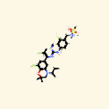 C=N/C(=N\C(=C(/C)F)c1cc(F)c2c(c1)N(C(C)CC)CC(C)(C)O2)Nc1ccc(CNS(C)(=O)=O)c(F)c1